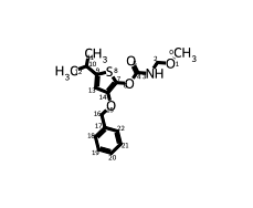 COCNC(=O)Oc1sc(C(C)C)cc1OCc1ccccc1